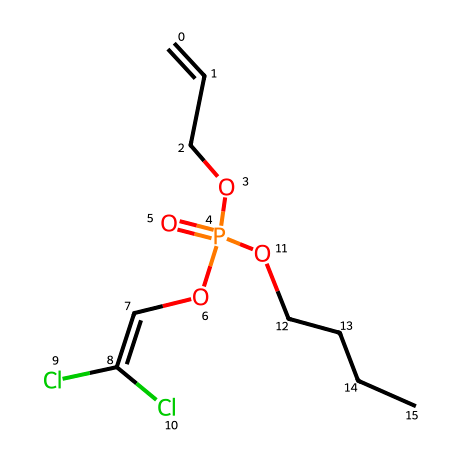 C=CCOP(=O)(OC=C(Cl)Cl)OCCCC